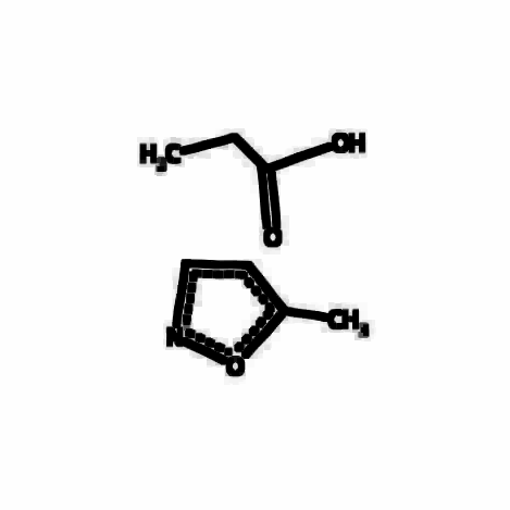 CCC(=O)O.Cc1ccno1